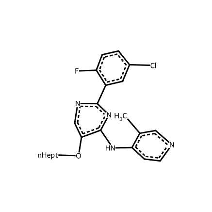 CCCCCCCOc1cnc(-c2cc(Cl)ccc2F)nc1Nc1ccncc1C